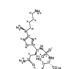 CC(O)[C@H](NS(=O)(=O)N[C@@H](CCC(N)=O)c1nc([C@@H](N)CCCCN)no1)C(=O)O